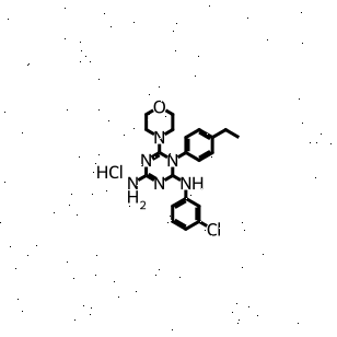 CCc1ccc(N2C(N3CCOCC3)=NC(N)=NC2Nc2cccc(Cl)c2)cc1.Cl